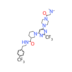 CN(C)CC(=O)N1CCN(c2cc(N3CCCC(C(=O)NCCc4ccc(C(F)(F)F)cc4)C3)nc(C(F)(F)F)n2)CC1